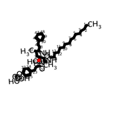 CCCCCCCCCCCCCCCCNC(C)(NC(=O)CCc1ccc(OP(=O)(O)O)cc1)C(=O)C(CCC)(NCCCc1ccccc1)C(=O)O